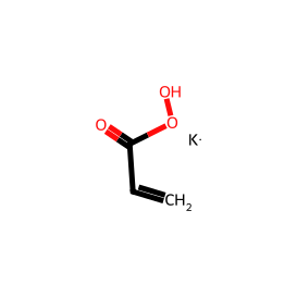 C=CC(=O)OO.[K]